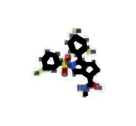 CNC(=O)C1CCc2c1cn(S(=O)(=O)c1cccc(F)c1)c2-c1ccc(F)cc1F